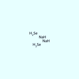 [NaH].[NaH].[SeH2].[SeH2]